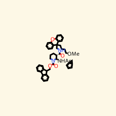 COCCCCC1(CNC(=O)[C@H]2CCCN(C(=O)OCC3c4ccccc4-c4ccccc43)C2NC(C)=O)c2ccccc2Oc2ccccc21.c1cc2cc-2c1